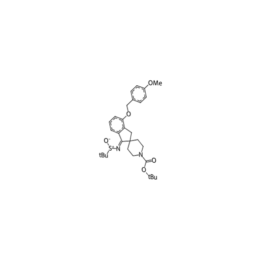 COc1ccc(COc2cccc3c2CC2(CCN(C(=O)OC(C)(C)C)CC2)/C3=N/[S+]([O-])C(C)(C)C)cc1